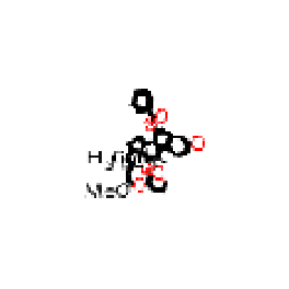 COC(=O)CCC(C)C1CCC2C3C(C[C@H](OC4CCCCO4)[C@]12C)[C@@]1(C)CCC(=O)CC1C[C@H]3OC(=O)c1ccccc1